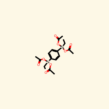 CC[Si](OC(C)=O)(OC(C)=O)c1ccc([Si](CC)(OC(C)=O)OC(C)=O)cc1